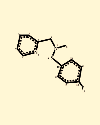 CN(Cc1ccccn1)Sc1ccc(F)cc1